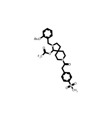 CC(C)COc1ccccc1CN1CCC2(CCN(C(=O)Cc3ccc(S(C)(=O)=O)cc3)CC2)C1OC(=O)C(F)(F)F